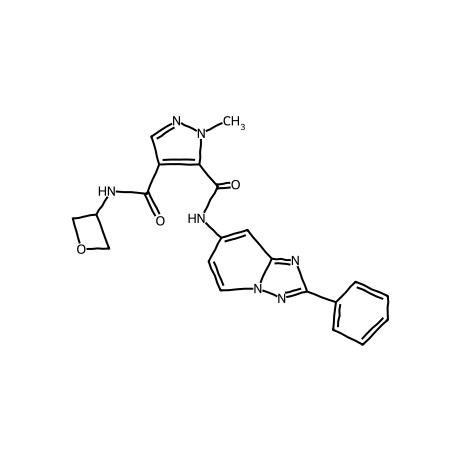 Cn1ncc(C(=O)NC2COC2)c1C(=O)Nc1ccn2nc(-c3ccccc3)nc2c1